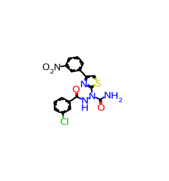 NC(=O)N(NC(=O)c1cccc(Cl)c1)c1nc(-c2cccc([N+](=O)[O-])c2)cs1